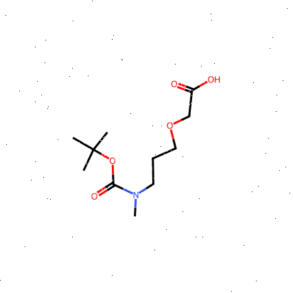 CN(CCCOCC(=O)O)C(=O)OC(C)(C)C